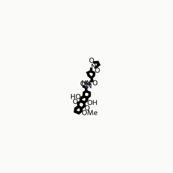 COc1cccc2c1C(=O)c1c(O)c3c(c(O)c1C2=O)CC(/C(CO)=N/NC(=O)C1CCC(CN2C(=O)C=CC2=O)CC1)CC3